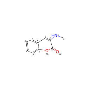 CNc1cc2ccccc2oc1=O